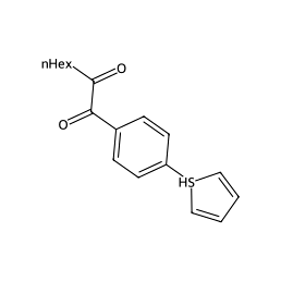 CCCCCCC(=O)C(=O)c1ccc([SH]2C=CC=C2)cc1